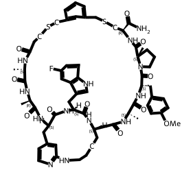 COc1ccc(C[C@@H]2NC(=O)[C@H](C)NC(=O)[C@@H]3CCCCNc4cc(ccn4)C[C@H](NC(=O)[C@@H](C)NC(=O)[C@H](C)NC(=O)CCSCc4cccc(c4)CSC[C@@H](C(N)=O)NC(=O)[C@]4(C)CCCN4C2=O)C(=O)N[C@@H](Cc2c[nH]c4ccc(F)cc24)C(=O)N3)cc1